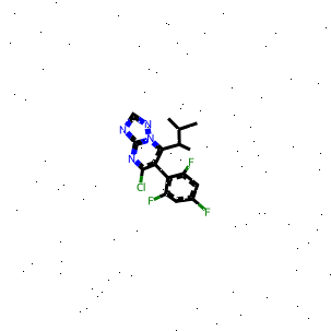 CC(C)C(C)c1c(-c2c(F)cc(F)cc2F)c(Cl)nc2ncnn12